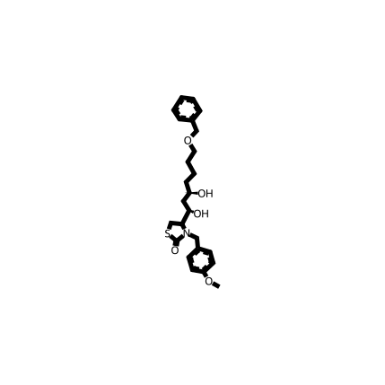 COc1ccc(CN2C(=O)SCC2[C@H](O)C[C@H](O)CCCCOCc2ccccc2)cc1